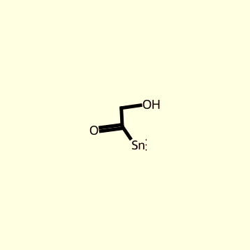 O=[C]([Sn])CO